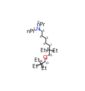 CCCN(CCC)CCCCCC(CC)(CC)COCC(CC)(CC)CC